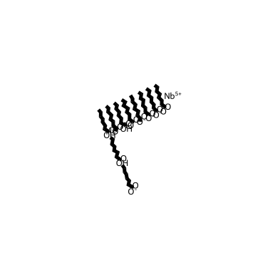 CCCCCCCC(=O)O.CCCCCCCC(=O)O.CCCCCCCC(=O)O.CCCCCCCC(=O)O.CCCCCCCC(=O)O.CCCCCCCC(=O)[O-].CCCCCCCC(=O)[O-].CCCCCCCC(=O)[O-].CCCCCCCC(=O)[O-].CCCCCCCC(=O)[O-].[Nb+5]